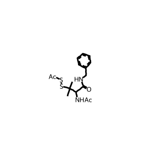 CC(=O)NC(C(=O)NCc1ccccc1)C(C)(C)SSC(C)=O